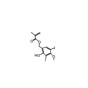 C=C(C)C(=O)OCc1cc(I)c(OC)c(I)c1O